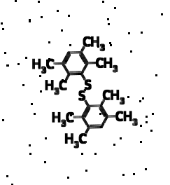 Cc1cc(C)c(C)c(SSc2c(C)c(C)cc(C)c2C)c1C